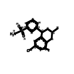 Cc1cc(Cl)cc2c1CN(C)CC2c1cccc(S(N)(=O)=O)c1